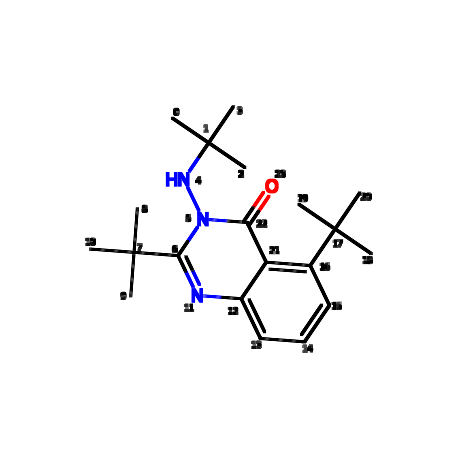 CC(C)(C)Nn1c(C(C)(C)C)nc2cccc(C(C)(C)C)c2c1=O